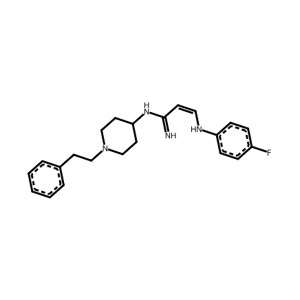 N=C(/C=C\Nc1ccc(F)cc1)NC1CCN(CCc2ccccc2)CC1